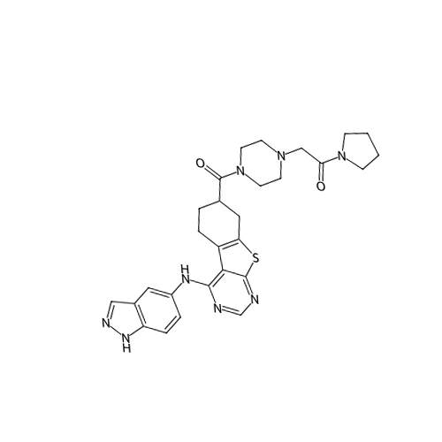 O=C(CN1CCN(C(=O)C2CCc3c(sc4ncnc(Nc5ccc6[nH]ncc6c5)c34)C2)CC1)N1CCCC1